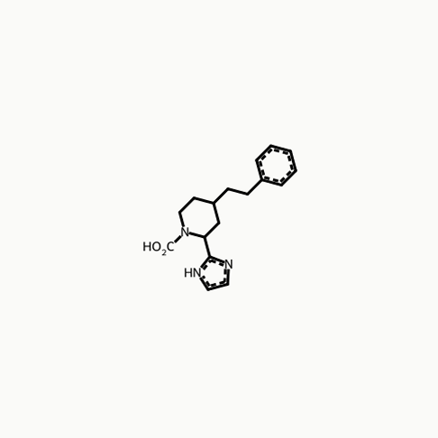 O=C(O)N1CCC(CCc2ccccc2)CC1c1ncc[nH]1